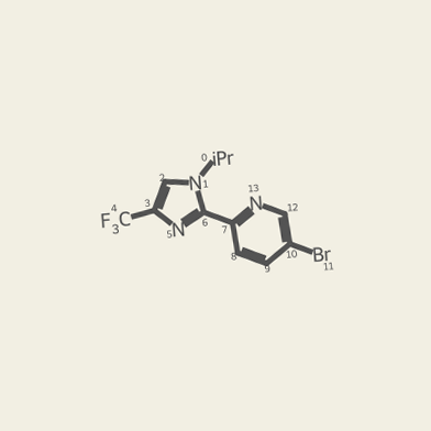 CC(C)n1cc(C(F)(F)F)nc1-c1ccc(Br)cn1